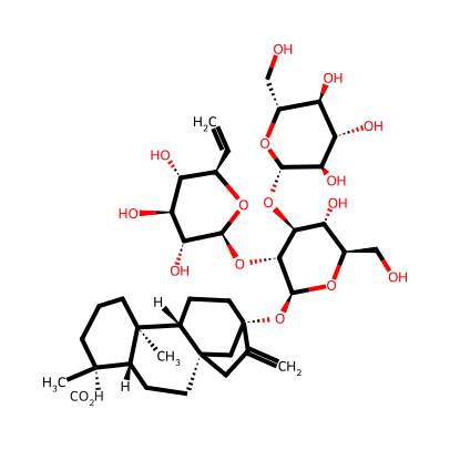 C=C[C@H]1O[C@@H](O[C@H]2[C@H](O[C@]34CC[C@@H]5[C@](CC[C@H]6[C@@]5(C)CCC[C@@]6(C)C(=O)O)(CC3=C)C4)O[C@H](CO)[C@@H](O)[C@@H]2O[C@@H]2O[C@H](CO)[C@@H](O)[C@H](O)[C@H]2O)[C@H](O)[C@@H](O)[C@@H]1O